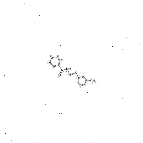 Cc1cccc(/C=N/NC(=O)c2ccccc2)c1